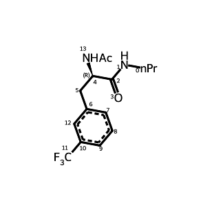 CCCNC(=O)[C@@H](Cc1cccc(C(F)(F)F)c1)NC(C)=O